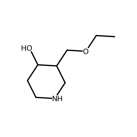 CCOCC1CNCCC1O